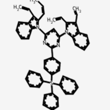 C=Cc1c(C=C)n(-c2cc(-n3c(/C=C\C)c(C=C)c4ccccc43)nc(-c3ccc(S(c4ccccc4)(c4ccccc4)c4ccccc4)cc3)n2)c2ccccc12